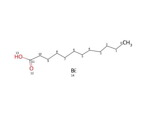 CCCCCCCCCCCC(=O)O.[Bi]